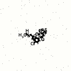 CN/N=C/c1cc2c(Cl)ccc(-n3c(=O)cc(C(F)(F)F)n(C)c3=O)c2o1